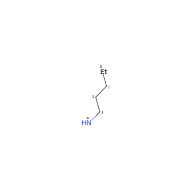 [CH2]CCCC[NH]